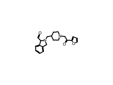 O=CC1c2ccccc2CN1CC1CCN(CC(=O)c2ccco2)CC1